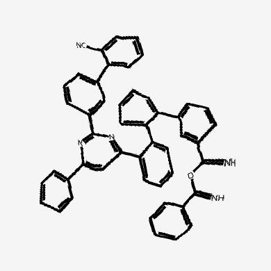 N#Cc1ccccc1-c1cccc(-c2nc(-c3ccccc3)cc(-c3ccccc3-c3ccccc3-c3cccc(C(=N)OC(=N)c4ccccc4)c3)n2)c1